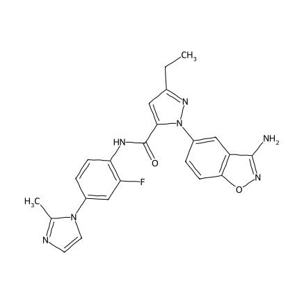 CCc1cc(C(=O)Nc2ccc(-n3ccnc3C)cc2F)n(-c2ccc3onc(N)c3c2)n1